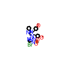 COc1ccc(CN(Cc2nc3ccccc3n2Cc2ccc(OC)cc2)c2nc(S(C)(=O)=O)nc3c(Br)cnn23)cc1